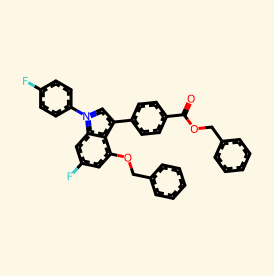 O=C(OCc1ccccc1)c1ccc(-c2cn(-c3ccc(F)cc3)c3cc(F)cc(OCc4ccccc4)c23)cc1